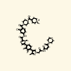 Cc1nn(CC(=O)Nc2ccc(N3CCOCC3)nn2)cc1-c1ccc(-c2cnc(C(=O)Nc3ccc(C(=O)N4CCN(C(=O)C5CC[N+](C)(C)CC5)CC4)c(Cl)c3)n2C)c(F)c1F